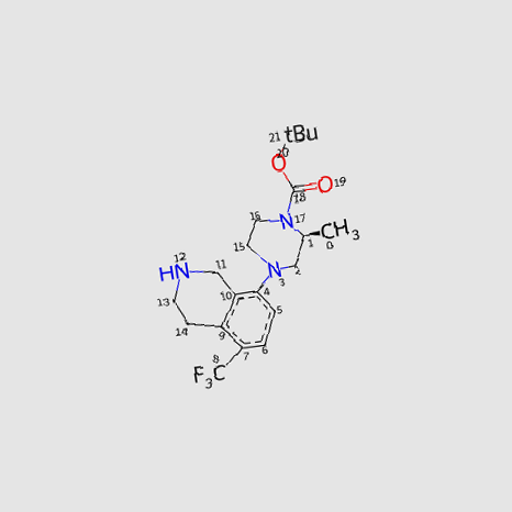 C[C@H]1CN(c2ccc(C(F)(F)F)c3c2CNCC3)CCN1C(=O)OC(C)(C)C